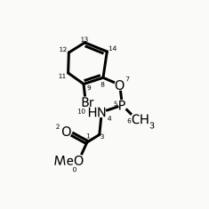 COC(=O)CNP(C)OC1=C(Br)CCC=C1